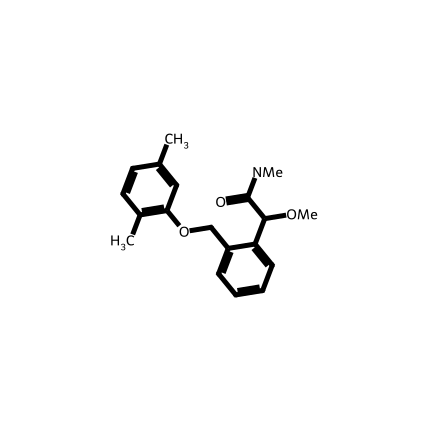 CNC(=O)C(OC)c1ccccc1COc1cc(C)ccc1C